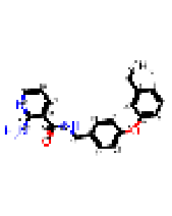 CCc1cccc(Oc2ccc(CNC(=O)c3cccnc3N)cc2)c1